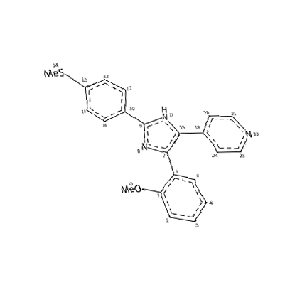 COc1ccccc1-c1nc(-c2ccc(SC)cc2)[nH]c1-c1ccncc1